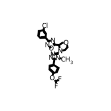 Cn1c(-c2ccc(OC(F)F)cc2)nnc1N1CCOCC1c1nc(-c2cccc(Cl)c2)no1